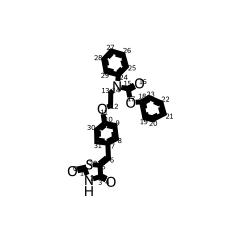 O=C1NC(=O)C(=Cc2ccc(OCCN(C(=O)Oc3ccccc3)c3ccccc3)cc2)S1